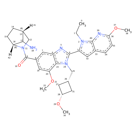 CCn1c(-c2nc3cc(C(=O)N4C[C@H]5CC[C@@H]4C5N)cc(OC)c3n2C[C@H]2C[C@@H](OC)C2)cc2ccc(OC)nc21